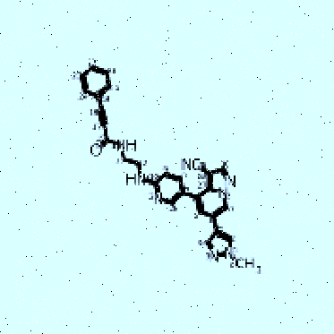 Cn1cc(-c2cc(-c3ccc(NCCNC(=O)C#Cc4ccccc4)nc3)c3c(C#N)cnn3c2)cn1